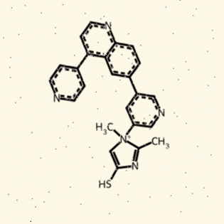 CC1=NC(S)=C[N+]1(C)c1cncc(-c2ccc3nccc(-c4ccncc4)c3c2)c1